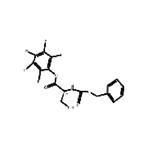 O=C(N[C@@H](CO)C(=O)Oc1c(F)c(F)c(F)c(F)c1F)OCc1ccccc1